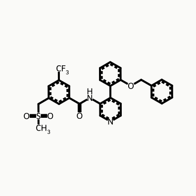 CS(=O)(=O)Cc1cc(C(=O)Nc2cnccc2-c2ccccc2OCc2ccccc2)cc(C(F)(F)F)c1